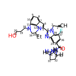 C#CCn1c(-c2cc3cccc4c3n2C(CC)CN4CCCO)nc2cc(C(=O)N3C[C@H]4CC[C@@H]3[C@@H]4N)cc(F)c21